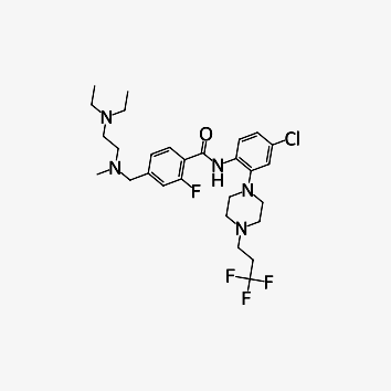 CCN(CC)CCN(C)Cc1ccc(C(=O)Nc2ccc(Cl)cc2N2CCN(CCC(F)(F)F)CC2)c(F)c1